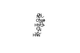 CCc1nonc1C(=O)NC(C)(C(=O)Nc1ccc(-c2c(C)n[nH]c2C)nc1)C(C1CC1)C1CC1